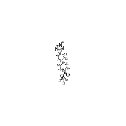 Cn1cnc(-c2ccc(C3CCN(C(=O)OC(C)(C)C)CC3)cc2)n1